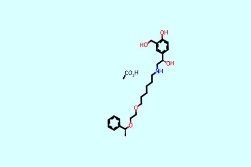 CC(=O)O.C[C@H](OCCOCCCCCCNC[C@H](O)c1ccc(O)c(CO)c1)c1ccccc1